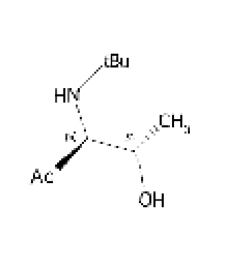 CC(=O)[C@@H](NC(C)(C)C)[C@H](C)O